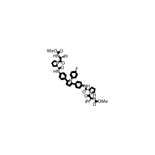 COC(=O)N[C@H](C(=O)N1CCC[C@H]1C(=O)Nc1ccc(-c2ccc(-c3ccc(NC(=O)[C@@H]4CCCN4C(=O)[C@@H](NC(=O)OC)C(C)C)cc3)n2-c2ccc(F)cc2)cc1)C(C)C